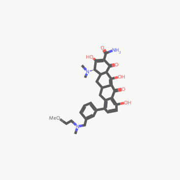 COCCN(C)Cc1cccc(-c2ccc(O)c3c2CC2CC4C(C(=O)C(C(N)=O)=C(O)[C@H]4N(C)C)C(O)=C2C3=O)c1